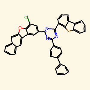 Clc1cc(-c2nc(-c3ccc(-c4ccccc4)cc3)nc(-c3cccc4c3sc3ccccc34)n2)cc2c1oc1cc3ccccc3cc12